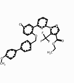 CCOC(=O)c1cnn(-c2cccc(-c3cc(Cl)ccc3OCc3ccc(-c4ccc(OC)cc4)cc3)n2)c1C(F)(F)F